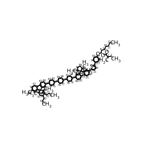 C=C(CC)C(=O)OC(CCCCCC)Oc1ccc(-c2ccc(-c3ccc4c(c3)C3(c5cc(-c6ccc(-c7ccc(-c8ccc(-c9ccc%10c(c9)C9(c%11cc(C)ccc%11-%10)C%10(C)CC(CCC)CC9(C)C(CCC)C%10)cc8)cc7)cc6)ccc5-4)C(C)(C)CCC3(C)C)s2)cc1